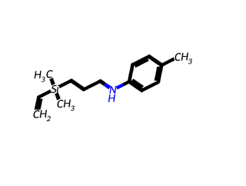 C=C[Si](C)(C)CCCNc1ccc(C)cc1